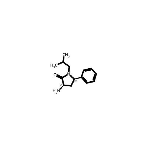 CC(C)CN1C(=O)[C@H](N)C[C@@H]1c1ccccc1